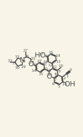 C#Cc1c(O)ccc2c1C(C)=C(c1cccc(O)c1)C(c1ccc(OCC(C)N3CCC(C)C3)cc1)O2